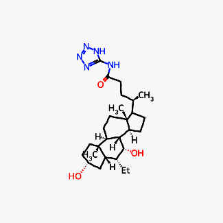 CC[C@H]1[C@@H](O)[C@@H]2[C@H](CC[C@]3(C)C([C@H](C)CCC(=O)Nc4nnn[nH]4)CC[C@@H]23)[C@@]2(C)CC[C@@H](O)C[C@@H]12